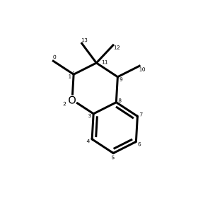 C[C]1Oc2ccccc2C(C)C1(C)C